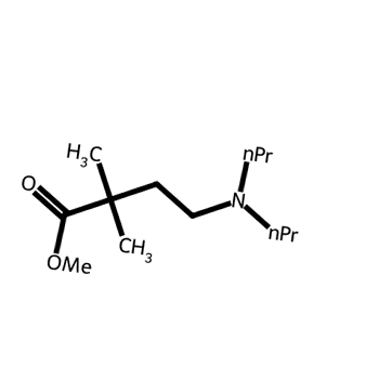 CCCN(CCC)CCC(C)(C)C(=O)OC